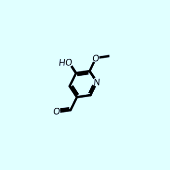 COc1ncc(C=O)cc1O